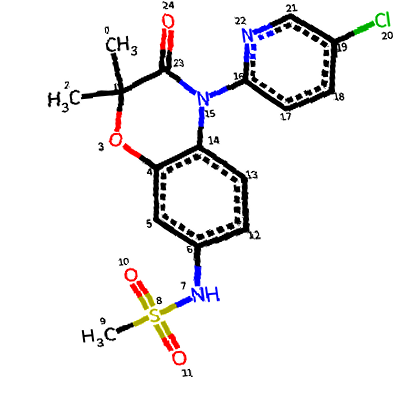 CC1(C)Oc2cc(NS(C)(=O)=O)ccc2N(c2ccc(Cl)cn2)C1=O